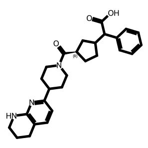 O=C(O)C(c1ccccc1)C1CC[C@@H](C(=O)N2CCC(c3ccc4c(n3)NCCC4)CC2)C1